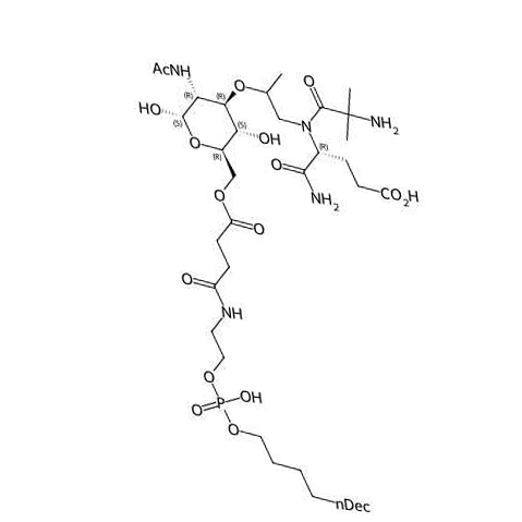 CCCCCCCCCCCCCCOP(=O)(O)OCCNC(=O)CCC(=O)OC[C@H]1O[C@H](O)[C@H](NC(C)=O)[C@@H](OC(C)CN(C(=O)C(C)(C)N)[C@H](CCC(=O)O)C(N)=O)[C@@H]1O